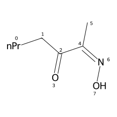 CCCCC(=O)/C(C)=N\O